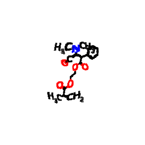 C=C(C)C(=O)OCCOC(=O)C(C(=C=O)N(C)C)c1ccccc1